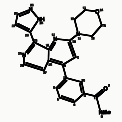 CNC(=O)c1cccc(-c2cc(N3CCOCC3)nc3c(-c4ccn[nH]4)nccc23)c1